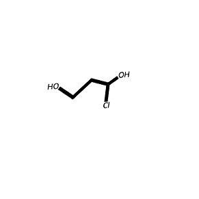 OCC[C](O)Cl